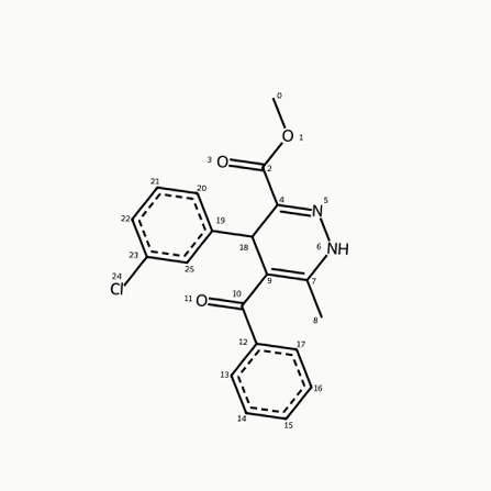 COC(=O)C1=NNC(C)=C(C(=O)c2ccccc2)C1c1cccc(Cl)c1